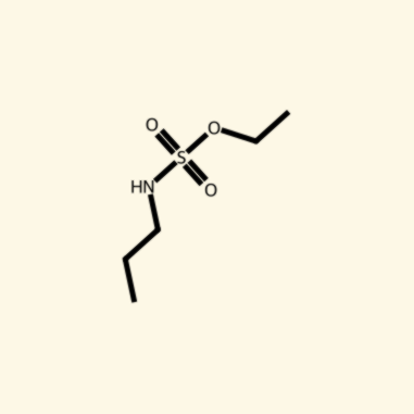 CCCNS(=O)(=O)OCC